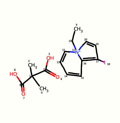 CC(C)(C(=O)O)C(=O)O.CC[N+]12C=CC=CC1=C(I)C=C2